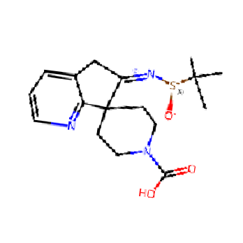 CC(C)(C)[S@@+]([O-])/N=C1/Cc2cccnc2C12CCN(C(=O)O)CC2